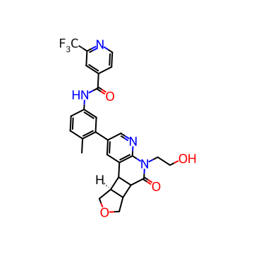 Cc1ccc(NC(=O)c2ccnc(C(F)(F)F)c2)cc1-c1cnc2c(c1)C1C(C(=O)N2CCO)C2COC[C@H]21